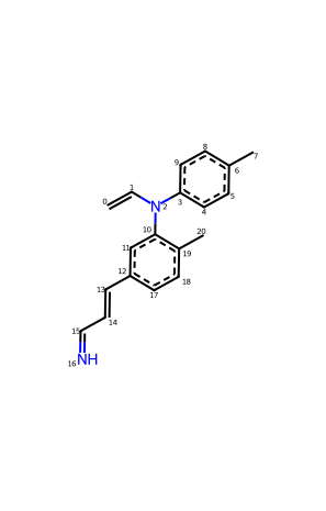 C=CN(c1ccc(C)cc1)c1cc(/C=C/C=N)ccc1C